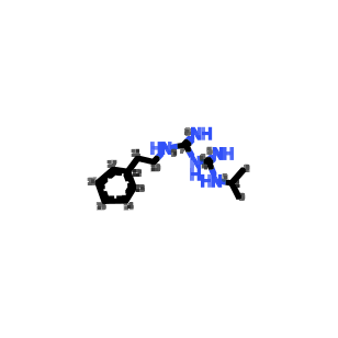 CC(C)NC(=N)NC(=N)NCCc1ccccc1